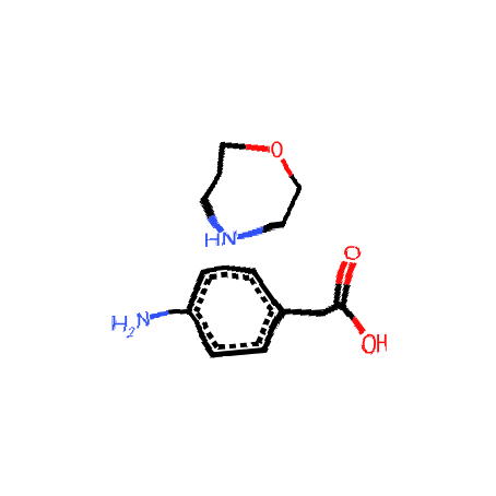 C1COCCN1.Nc1ccc(C(=O)O)cc1